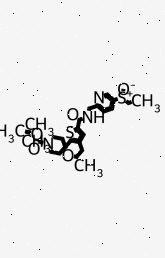 CC[S+]([O-])c1ccc(CNC(=O)c2cc3c(s2)C2(CCN(C(=O)OC(C)(C)C)CC2)O[C@@H](C)C3)nc1